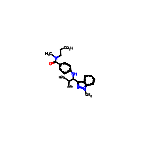 CCCC(CCC)C(Nc1ccc(C(=O)N(C)CCC(=O)O)cc1)c1nn(C)c2ccccc12